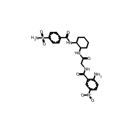 Nc1ccc([N+](=O)[O-])cc1C(=O)NCC(=O)NC1CCCCC1NC(=O)c1ccc(S(N)(=O)=O)cc1